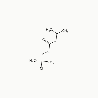 CC(C)CC(=O)OCC(C)(C)Cl